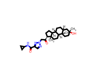 C[C@@]1(O)CC[C@@]2(C)[C@H](CC[C@@H]3[C@@H]2CC[C@]2(C)[C@@H](C(=O)Cn4ncc(C(=O)NC5CC5)n4)CC[C@@H]32)C1